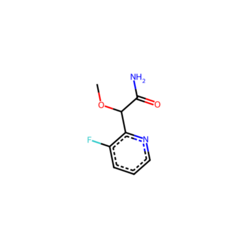 COC(C(N)=O)c1ncccc1F